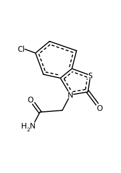 NC(=O)Cn1c(=O)sc2ccc(Cl)cc21